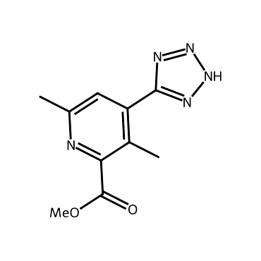 COC(=O)c1nc(C)cc(-c2nn[nH]n2)c1C